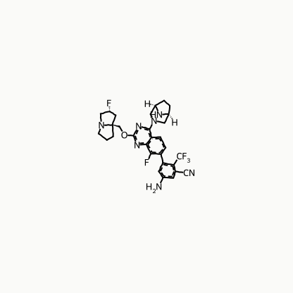 N#Cc1cc(N)cc(-c2ccc3c(N4C[C@H]5CC[C@@H](C4)N5)nc(OC[C@@]45CCCN4C[C@H](F)C5)nc3c2F)c1C(F)(F)F